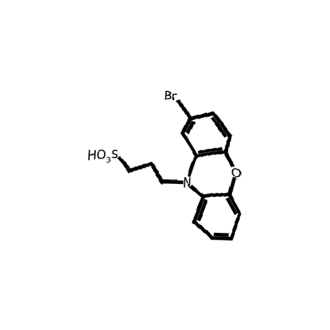 O=S(=O)(O)CCCN1c2ccccc2Oc2ccc(Br)cc21